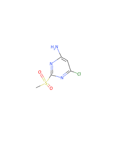 CS(=O)(=O)c1nc(N)cc(Cl)n1